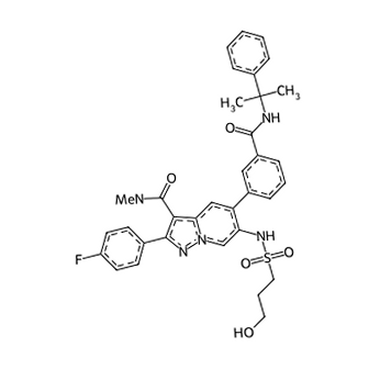 CNC(=O)c1c(-c2ccc(F)cc2)nn2cc(NS(=O)(=O)CCCO)c(-c3cccc(C(=O)NC(C)(C)c4ccccc4)c3)cc12